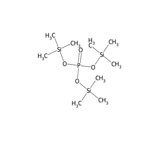 C[Si](C)(C)OP(=O)(O[Si](C)(C)C)O[Si](C)(C)C